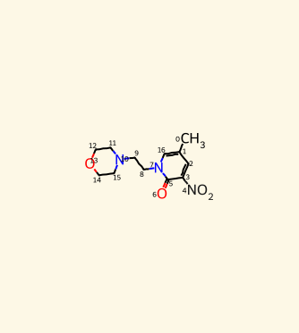 Cc1cc([N+](=O)[O-])c(=O)n(CCN2CCOCC2)c1